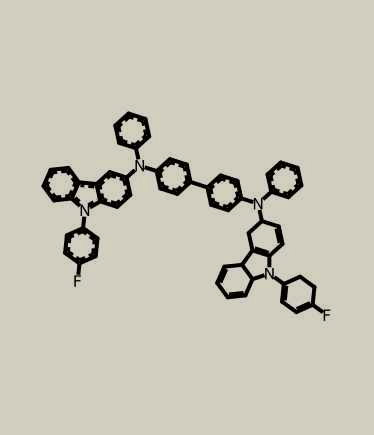 FC1=CC=C(N2C3=C(CC(N(c4ccccc4)c4ccc(-c5ccc(N(c6ccccc6)c6ccc7c(c6)c6ccccc6n7-c6ccc(F)cc6)cc5)cc4)C=C3)C3C=CC=CC32)CC1